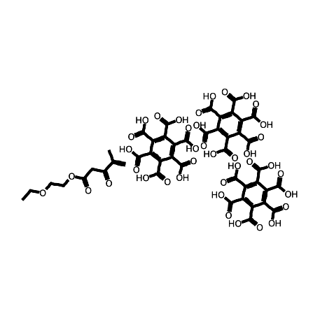 C=C(C)C(=O)CC(=O)OCCOCC.O=C(O)c1c(C(=O)O)c(C(=O)O)c(C(=O)O)c(C(=O)O)c1C(=O)O.O=C(O)c1c(C(=O)O)c(C(=O)O)c(C(=O)O)c(C(=O)O)c1C(=O)O.O=C(O)c1c(C(=O)O)c(C(=O)O)c(C(=O)O)c(C(=O)O)c1C(=O)O